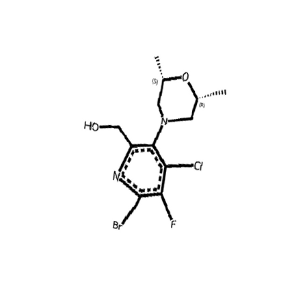 C[C@@H]1CN(c2c(CO)nc(Br)c(F)c2Cl)C[C@H](C)O1